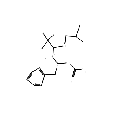 CC(C)CNC([C@@H](O)[C@H](Cc1ccccc1)OC(N)=O)C(C)(C)C